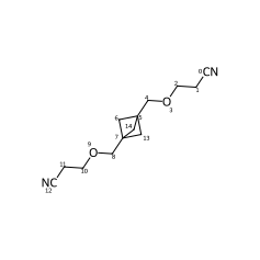 N#CCCOCC12CC(COCCC#N)(C1)C2